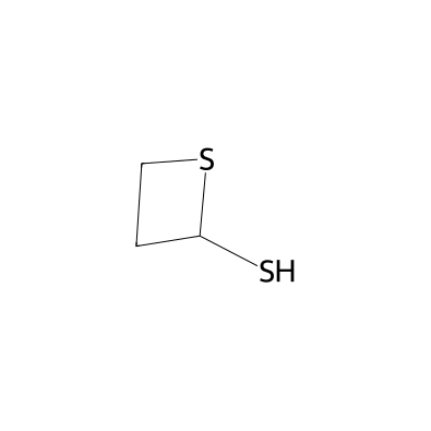 SC1CCS1